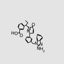 CCC(c1cccc(C(=O)O)c1)n1nc(-c2cccc(Cn3c(N)nc4ccccc43)c2)ccc1=O